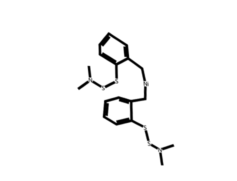 CN(C)SSc1ccccc1[CH2][Ni][CH2]c1ccccc1SSN(C)C